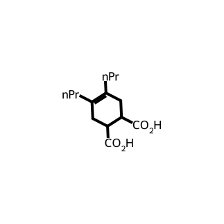 CCCC1=C(CCC)CC(C(=O)O)C(C(=O)O)C1